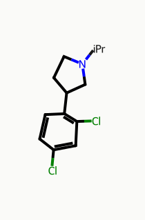 CC(C)N1CCC(c2ccc(Cl)cc2Cl)C1